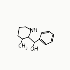 CC1CCCNC1C(O)c1ccccc1